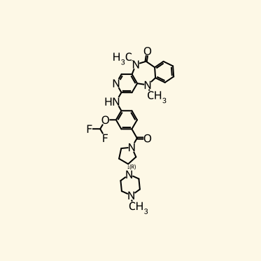 CN1CCN([C@@H]2CCN(C(=O)c3ccc(Nc4cc5c(cn4)N(C)C(=O)c4ccccc4N5C)c(OC(F)F)c3)C2)CC1